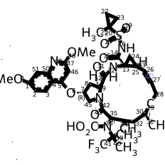 COc1ccc2c(O[C@@H]3C[C@H]4C(=O)N[C@]5(C(=O)NS(=O)(=O)C6(C)CC6)C[C@H]5/C=C\CC[C@@H](C)C[C@@H](C)[C@H](N(C(=O)O)C(C)(C)C(F)(F)F)C(=O)N4C3)cc(OC)nc2c1